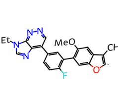 CCn1cnc2c(-c3ccc(F)c(-c4cc5o[c]c(C)c5cc4OC)c3)cnnc21